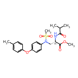 COC(=O)[C@H](CN(c1ccc(Oc2ccc(C)cc2)cc1)S(C)(=O)=O)NC(=O)C(C)C